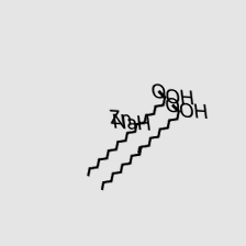 CCCCCCCCC=CCCCCCCCC(=O)O.CCCCCCCCCCCCCCCCCC(=O)O.[NaH].[Zn]